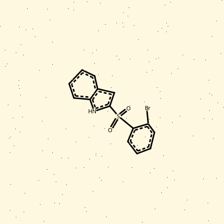 O=S(=O)(c1cc2ccccc2[nH]1)c1ccccc1Br